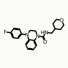 O=C(NCC1CCOCC1)N1CCN(c2ccc(F)cc2)c2ccccc21